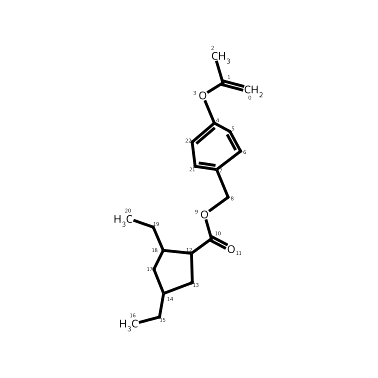 C=C(C)Oc1ccc(COC(=O)C2CC(CC)CC2CC)cc1